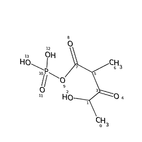 CC(O)C(=O)C(C)C(=O)OP(=O)(O)O